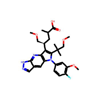 COC[C@@H](CC(C)C(=O)O)c1c(C(C)(C)COC)n(-c2ccc(F)c(OC)c2)c2cc3cn[nH]c3nc12